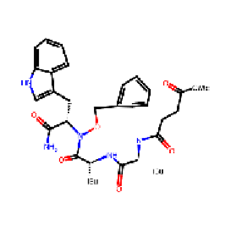 CC[C@H](C)[C@H](NC(=O)CCC(=O)OC)C(=O)N[C@H](C(=O)N(OCc1ccccc1)[C@@H](Cc1c[nH]c2ccccc12)C(N)=O)[C@@H](C)CC